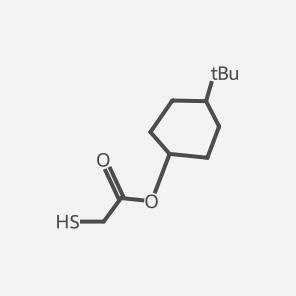 CC(C)(C)C1CCC(OC(=O)CS)CC1